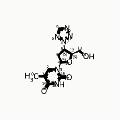 Cc1cn([C@H]2C[C@H](n3ncnn3)[C@@H](CO)O2)c(=O)[nH]c1=O